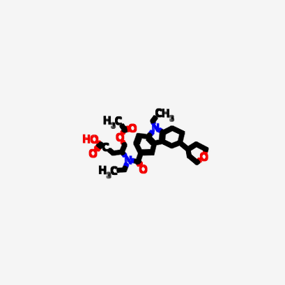 CCN(C(=O)c1ccc2c(c1)c1c(n2CC)CCC(C2CCOCC2)C1)C(CCC(=O)O)COC(C)=O